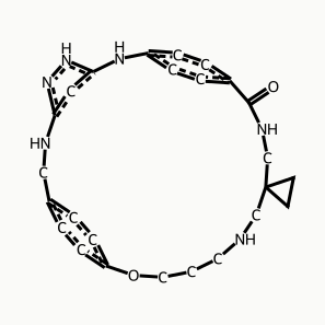 O=C1NCC2(CC2)CNCCCOc2ccc(cc2)CNc2cc([nH]n2)Nc2ccc1cc2